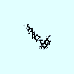 Bc1csc(CNC2CCN(CCn3c(=O)ccc4ncc(OC)cc43)CC2)n1